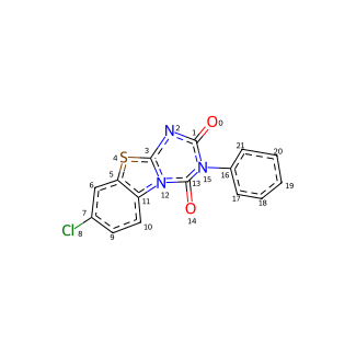 O=c1nc2sc3cc(Cl)ccc3n2c(=O)n1-c1ccccc1